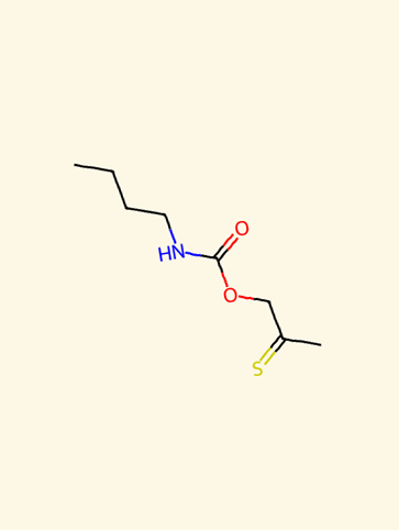 CCCCNC(=O)OCC(C)=S